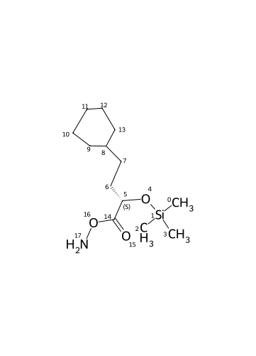 C[Si](C)(C)O[C@@H](CCC1CCCCC1)C(=O)ON